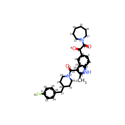 Cc1[nH]c2ccc(C(=O)C(=O)N3CCCCCC3)cc2c1C(=O)N1CCC(Cc2ccc(F)cc2)CC1